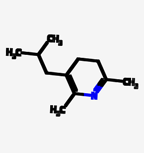 CC1=NC(C)=C(CC(C)C)CC1